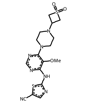 COc1c(Nc2ncc(C#N)s2)ncnc1N1CCN(C2CS(=O)(=O)C2)CC1